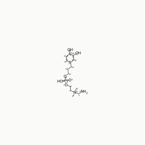 C[N+](C)(CN)CCOP(=O)(O)OCCCc1ccc(O)c(O)c1